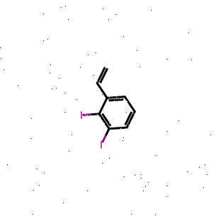 C=Cc1cccc(I)c1I